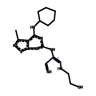 Cc1nsc2nc(N/C(C=N)=C/NCCO)nc(NC3CCCCC3)c12